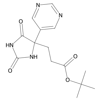 CC(C)(C)OC(=O)CCC1(c2cncnc2)NC(=O)NC1=O